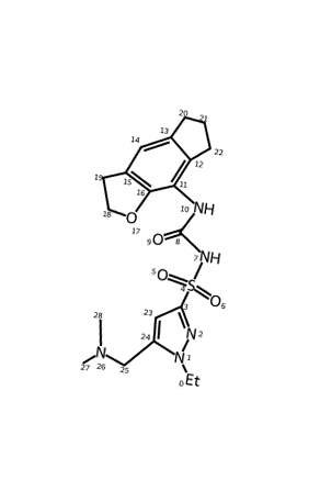 CCn1nc(S(=O)(=O)NC(=O)Nc2c3c(cc4c2OCC4)CCC3)cc1CN(C)C